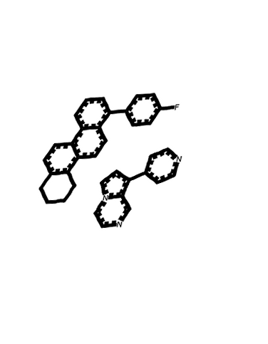 Fc1ccc(-c2cccc3c2ccc2c4c(ccc23)CCCC4)cc1.c1cc(-c2ccn3ccncc23)ccn1